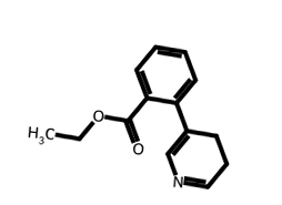 CCOC(=O)c1ccccc1C1=CN=CCC1